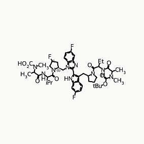 CCC(NC(=O)C(C)N(C)C(=O)OC(C)(C)C)C(=O)N1CCCC1Cc1c(-c2nc3cc(F)ccc3n2C[C@@H]2C[C@H](F)CN2C(=O)C(NC(=O)C(C)N(C)C(=O)O)C(C)C)[nH]c2cc(F)ccc12